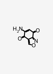 NC1=CC(=O)c2nocc2C1=O